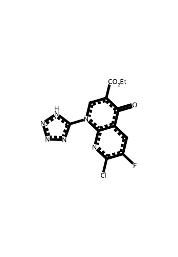 CCOC(=O)c1cn(-c2nnn[nH]2)c2nc(Cl)c(F)cc2c1=O